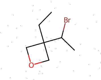 CCC1(C(C)Br)COC1